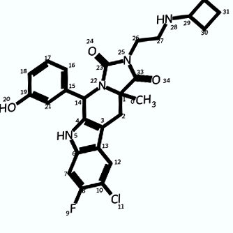 CC12Cc3c([nH]c4cc(F)c(Cl)cc34)C(c3cccc(O)c3)N1C(=O)N(CCNC1CCC1)C2=O